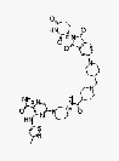 Cc1cc(Nc2nc(N3CCC[C@@H](NC(=O)C4CCN(CC5CCN(c6ccc7c(c6)C(=O)N([C@H]6CCC(=O)NC6=O)C7=O)CC5)CC4)C3)cnc2C(N)=O)sn1